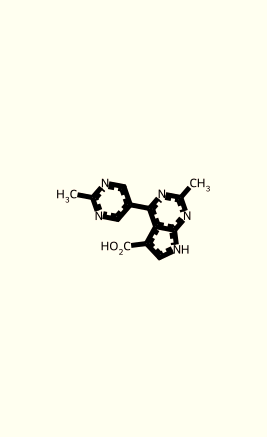 Cc1ncc(-c2nc(C)nc3[nH]cc(C(=O)O)c23)cn1